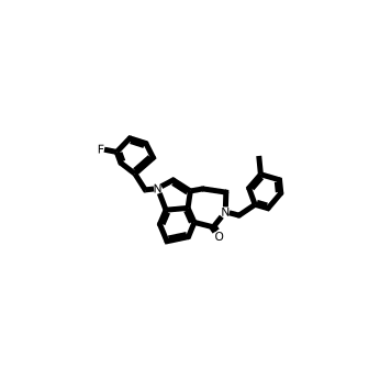 Cc1cccc(CN2CCc3cn(Cc4cccc(F)c4)c4cccc(c34)C2=O)c1